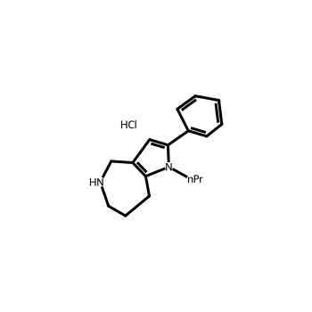 CCCn1c(-c2ccccc2)cc2c1CCCNC2.Cl